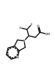 O=C(O)CC(C(F)F)N1Cc2cccnc2C1